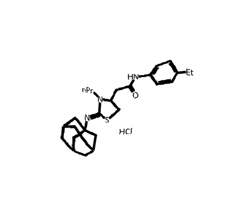 CCCN1C(=NC23CC4CC(CC(C4)C2)C3)SCC1CC(=O)Nc1ccc(CC)cc1.Cl